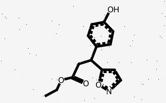 CCOC(=O)CC(c1ccc(O)cc1)c1ccno1